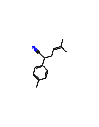 CC(C)=CCC(C#N)c1ccc(C)cc1